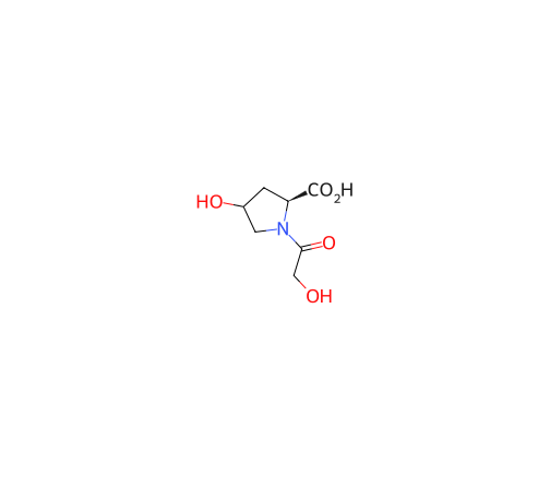 O=C(O)[C@@H]1CC(O)CN1C(=O)CO